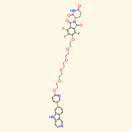 O=C1CCC(N2C(=O)c3c(F)c(F)c(OCCOCCOCCOCCOCCOc4ccc(-c5ccc6c(c5)[nH]c5ccncc56)cn4)c(F)c3C2=O)C(=O)N1